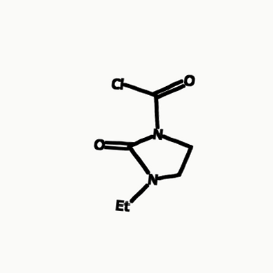 CCN1CCN(C(=O)Cl)C1=O